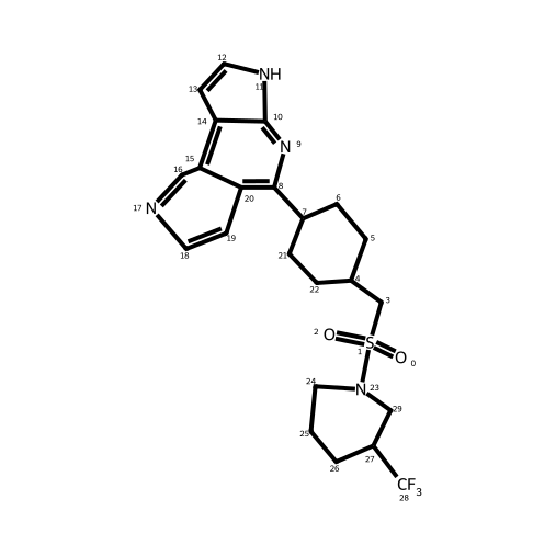 O=S(=O)(CC1CCC(c2nc3[nH]ccc3c3cnccc23)CC1)N1CCCC(C(F)(F)F)C1